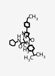 CCc1ccc(-c2cc3n(n2)CC(C)(C(=O)NC2CCCCC2)N(c2ccc(C(C)C)cc2)C3=O)cc1